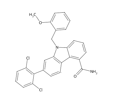 COc1ccccc1Cn1c2cc(-c3c(Cl)cccc3Cl)c[c]c2c2c(C(N)=O)cccc21